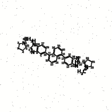 BN1CCC[C@H]1c1nc2cc(-c3cccc4c(-c5ccc6[nH]c([C@@H]7CCCN7C)nc6c5)cccc34)ccc2[nH]1